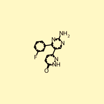 Nc1ncc(-c2ccc(=O)[nH]n2)c(-c2cccc(F)c2)n1